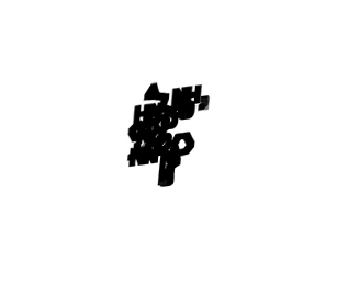 CSCCC1(NC(=O)N[C@H](C(=O)N2CCCC2C(=O)NC(CC2CC2)C(=O)C(N)=O)C(C)(C)C)CCCCC1